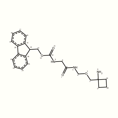 NC1(COCNC(=O)CNC(=O)OCC2c3ccccc3-c3ccccc32)CCC1